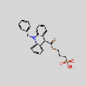 O=S(=O)(O)CCCSC(=S)C1c2ccccc2N(Cc2ccccc2)c2ccccc21